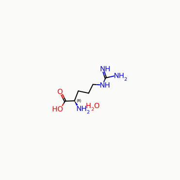 N=C(N)NCCC[C@@H](N)C(=O)O.O